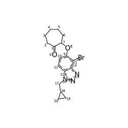 O=C1CCCCCC1Oc1ccc2c(nnn2CC2CC2)c1Br